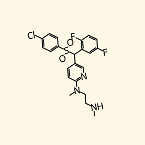 CNCCN(C)c1ccc(C(c2cc(F)ccc2F)S(=O)(=O)c2ccc(Cl)cc2)cn1